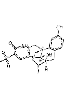 CN1CC[C@]23Cc4[nH]c(=O)c(S(C)(=O)=O)cc4C[C@@]2(O)[C@H]1Cc1ccc(O)cc13